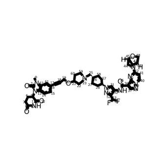 Cn1c(=O)n(C2CCC(=O)NC2=O)c2ccc(C#CCOC3CCN(C[C@H]4CC[C@H](n5cc(NC(=O)c6cnn7ccc(N8C[C@H]9C[C@@H]8CO9)nc67)c(C(F)F)n5)CC4)CC3)cc21